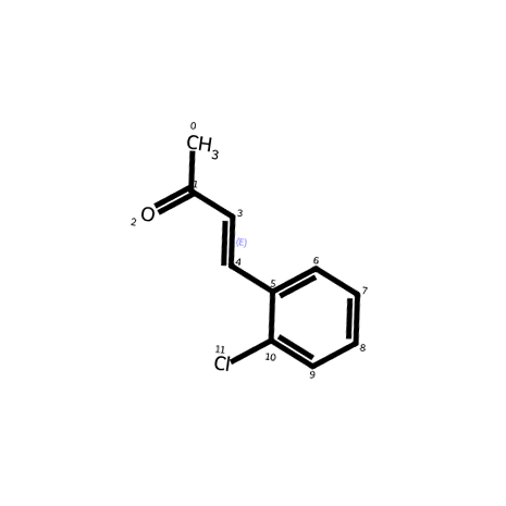 CC(=O)/C=C/c1ccccc1Cl